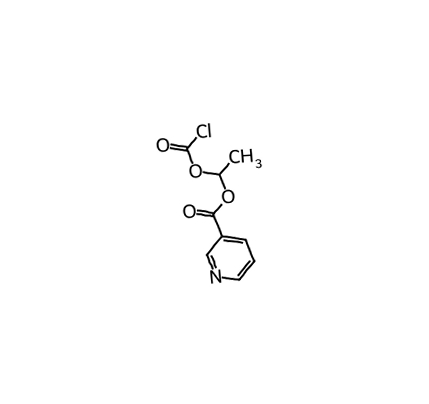 CC(OC(=O)Cl)OC(=O)c1cccnc1